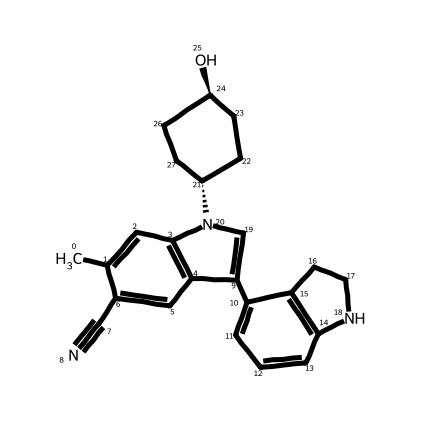 Cc1cc2c(cc1C#N)c(-c1cccc3c1CCN3)cn2[C@H]1CC[C@H](O)CC1